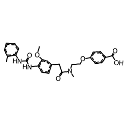 COc1cc(CC(=O)N(C)CCOc2ccc(C(=O)O)cc2)ccc1NC(=O)Nc1ccccc1C